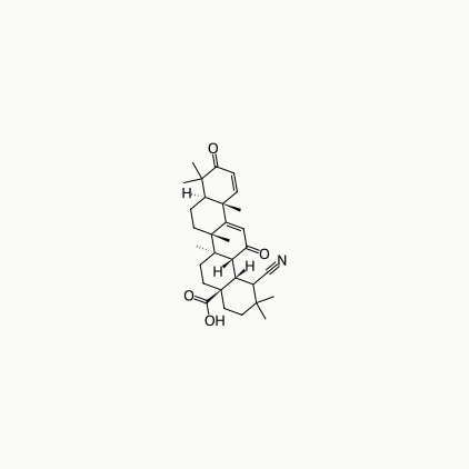 CC1(C)CC[C@]2(C(=O)O)CC[C@]3(C)[C@H](C(=O)C=C4[C@@]5(C)C=CC(=O)C(C)(C)[C@@H]5CC[C@]43C)[C@@H]2C1C#N